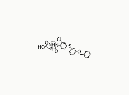 C[C@@]1(CC(=O)O)NCCN(c2ccc(Sc3cccc(OCc4ccccc4)c3)cc2Cl)C1=O